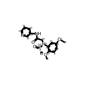 COc1ccc(OC)c(N(CC(=O)Nc2cccnc2)[SH](=O)=O)c1